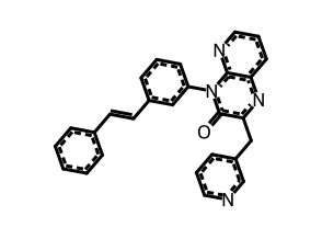 O=c1c(Cc2cccnc2)nc2cccnc2n1-c1cccc(/C=C/c2ccccc2)c1